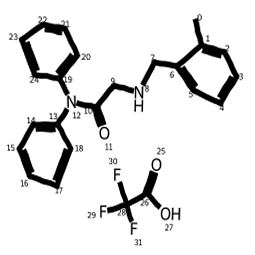 Cc1ccccc1CNCC(=O)N(c1ccccc1)c1ccccc1.O=C(O)C(F)(F)F